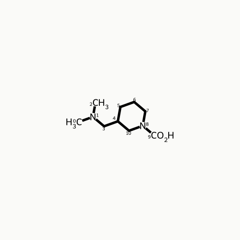 CN(C)CC1CCCN(C(=O)O)C1